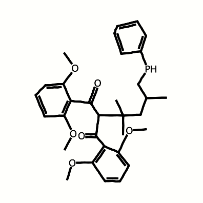 COc1cccc(OC)c1C(=O)C(C(=O)c1c(OC)cccc1OC)C(C)(C)CC(C)CPc1ccccc1